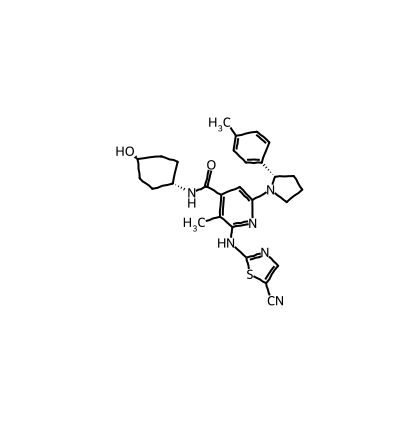 Cc1ccc([C@@H]2CCCN2c2cc(C(=O)N[C@H]3CC[C@H](O)CC3)c(C)c(Nc3ncc(C#N)s3)n2)cc1